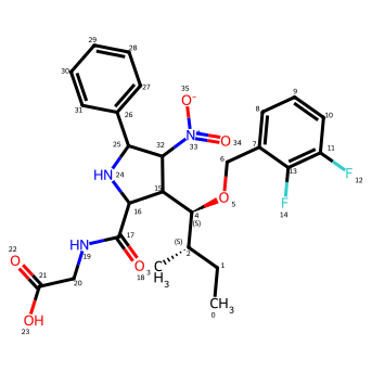 CC[C@H](C)[C@H](OCc1cccc(F)c1F)C1C(C(=O)NCC(=O)O)NC(c2ccccc2)C1[N+](=O)[O-]